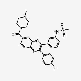 CN1CCN(C(=O)c2ccc3nc(-c4ccc(F)cc4)c(-c4cccc(NS(C)(=O)=O)c4)nc3c2)CC1